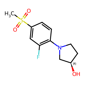 CS(=O)(=O)c1ccc(N2CC[C@@H](O)C2)c(F)c1